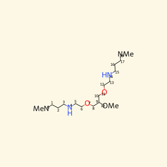 CNCCCNCCOCC(COCCNCCCNC)OC